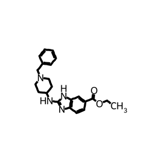 CCOC(=O)c1ccc2nc(NC3CCN(Cc4ccccc4)CC3)[nH]c2c1